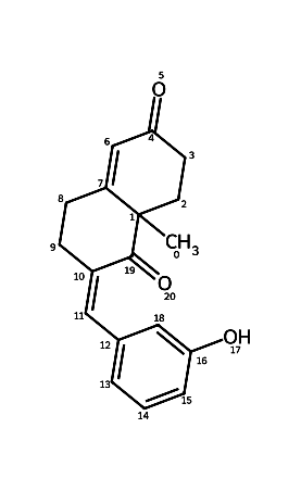 CC12CCC(=O)C=C1CC/C(=C/c1cccc(O)c1)C2=O